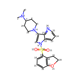 CN(C)C1CCN(c2cn(S(=O)(=O)c3cccc4c3CCO4)c3cccnc23)CC1